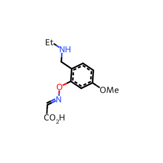 CCNCc1ccc(OC)cc1O/N=C/C(=O)O